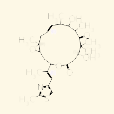 C/C(=C\c1csc(C)n1)C1CC2O[C@]2(C)C/C=C/C(C)C(O)C(C)C(=O)C(C)(C)[C@@H](O)CC(=O)O1